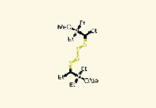 CCC(SSSSC(CC)[Si](CC)(CC)OC)[Si](CC)(CC)OC